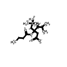 CCCC(=O)OC(CC(=O)[O-])(C[N+](C)(C)C)C(=O)C(C)C